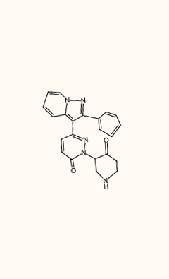 O=C1CCNCC1n1nc(-c2c(-c3ccccc3)nn3ccccc23)ccc1=O